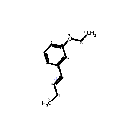 CC/C=C/c1cccc(OCC)c1